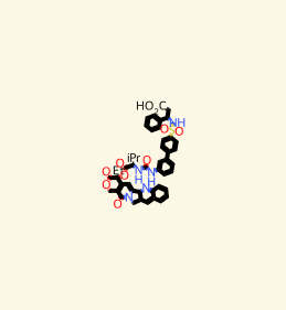 CCC1(OC(=O)[C@@H](NC(=O)Nc2cccc(-c3ccc(S(=O)(=O)NC(CC(=O)O)c4ccccc4)cc3)c2)C(C)C)C(=O)OCc2c1cc1n(c2=O)CC2C=c3ccccc3=NC12